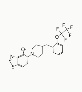 [O]c1c(N2CCC(Cc3ccccc3OC(F)(F)C(F)(F)F)CC2)ccc2scnc12